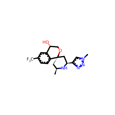 C[C@H]1C[C@@]2(C[C@@H](c3cn(C)nn3)N1)OC[C@@H](O)c1cc(C(F)(F)F)ccc12